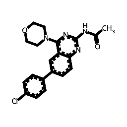 CC(=O)Nc1nc(N2CCOCC2)c2cc(-c3ccc(Cl)cc3)ccc2n1